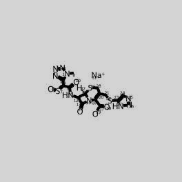 Cn1nnnc1C(=S=O)C(=O)NC1C(=O)N2C(C(=O)[O-])=C(CSc3cnn[nH]3)CS[C@H]12.[Na+]